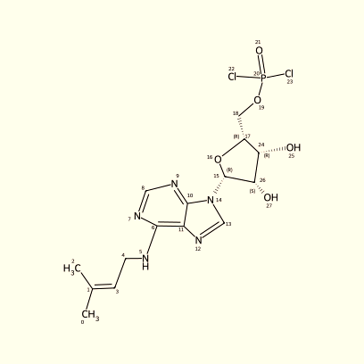 CC(C)=CCNc1ncnc2c1ncn2[C@@H]1O[C@H](COP(=O)(Cl)Cl)[C@H](O)[C@@H]1O